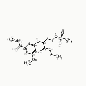 CCOC(=O)C(CCOS(C)(=O)=O)Oc1cc(OC)cc(C(=O)NC)c1